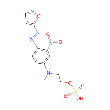 CN(CCOS(=O)(=O)O)c1ccc(N=Nc2ccno2)c([N+](=O)[O-])c1